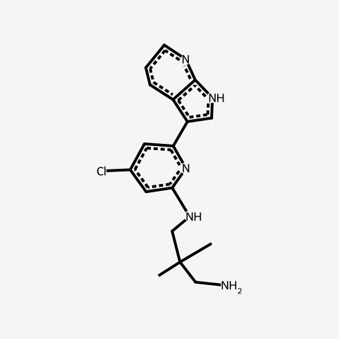 CC(C)(CN)CNc1cc(Cl)cc(-c2c[nH]c3ncccc23)n1